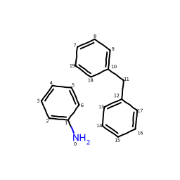 Nc1ccccc1.c1ccc(Cc2ccccc2)cc1